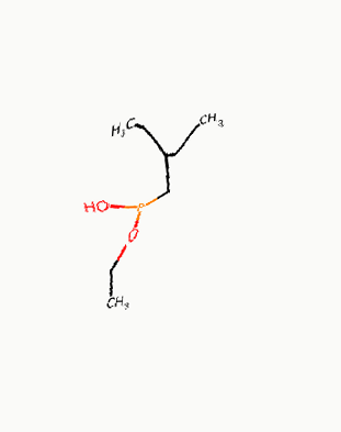 CCOP(O)CC(C)C